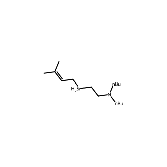 CCCCN(CCCC)CC[SiH2]CC=C(C)C